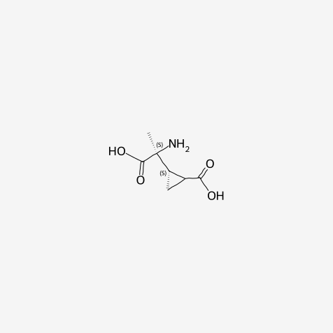 C[C@@](N)(C(=O)O)[C@H]1CC1C(=O)O